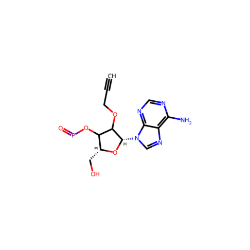 C#CCOC1C(OP=O)[C@@H](CO)O[C@H]1n1cnc2c(N)ncnc21